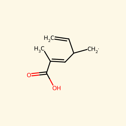 [CH2]C(C=C)C=C(C)C(=O)O